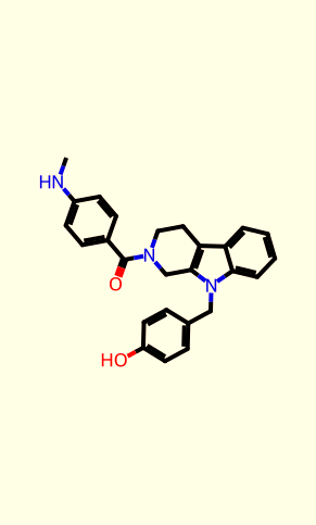 CNc1ccc(C(=O)N2CCc3c(n(Cc4ccc(O)cc4)c4ccccc34)C2)cc1